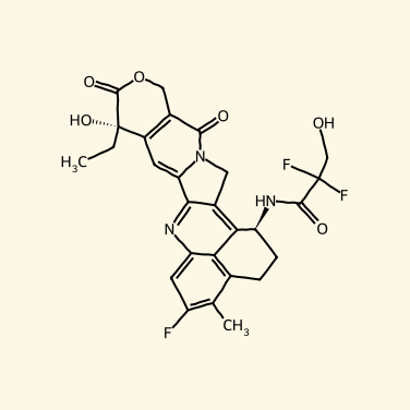 CC[C@@]1(O)C(=O)OCc2c1cc1n(c2=O)Cc2c-1nc1cc(F)c(C)c3c1c2[C@@H](NC(=O)C(F)(F)CO)CC3